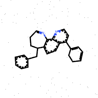 C1=CCCC(c2ccnc3c4c(ccc23)C(Cc2ccccc2)CCC=N4)=C1